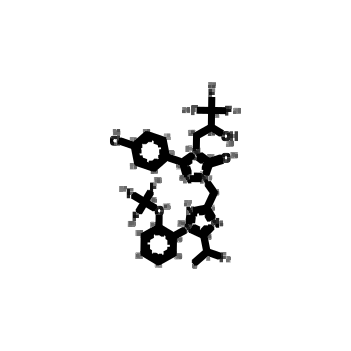 CC(F)c1nc(Cn2nc(-c3ccc(Cl)cc3)n(CC(O)C(F)(F)F)c2=O)nn1-c1ccccc1OC(F)(F)F